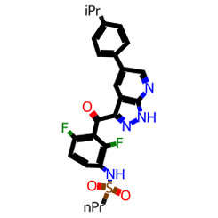 CCCS(=O)(=O)Nc1ccc(F)c(C(=O)c2n[nH]c3ncc(-c4ccc(C(C)C)cc4)cc23)c1F